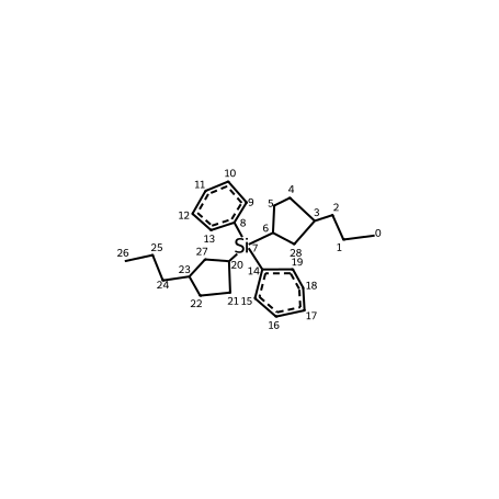 CCCC1CCC([Si](c2ccccc2)(c2ccccc2)C2CCC(CCC)C2)C1